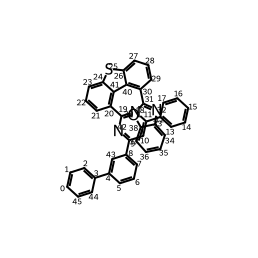 c1ccc(-c2cccc(-c3cc(-c4ccccc4)nc(-c4cccc5sc6cccc(-c7nc8ccccc8o7)c6c45)n3)c2)cc1